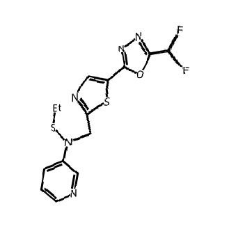 CCSN(Cc1ncc(-c2nnc(C(F)F)o2)s1)c1cccnc1